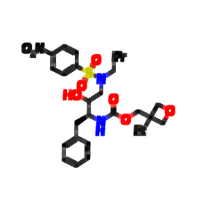 CCC1(COC(=O)N[C@@H](Cc2ccccc2)C(O)CN(CC(C)C)S(=O)(=O)c2ccc([N+](=O)[O-])cc2)COC1